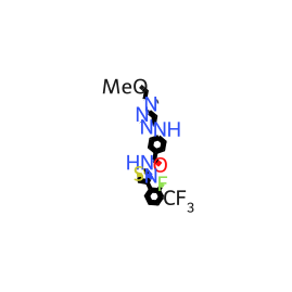 COCCN(C)c1cc(Nc2ccc(C(=O)Nc3nc(-c4cccc(C(F)(F)F)c4F)cs3)cc2)ncn1